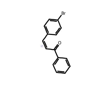 O=C(/C=C\c1ccc(Br)cc1)c1ccccc1